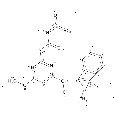 CC1=Nc2c3cccc2C1=C3.COc1cc(OC)nc(NC(=O)N=S(=O)=O)n1